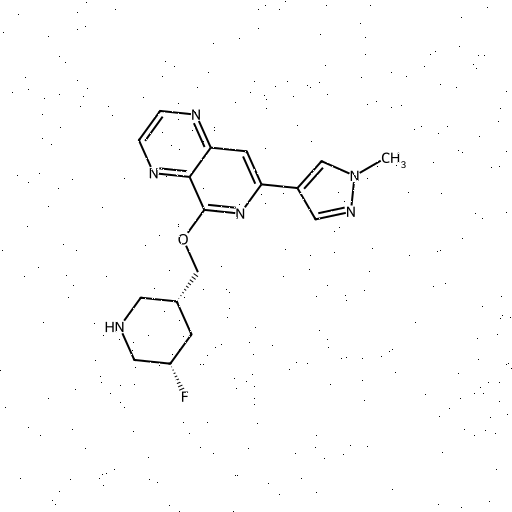 Cn1cc(-c2cc3nccnc3c(OC[C@H]3CNC[C@@H](F)C3)n2)cn1